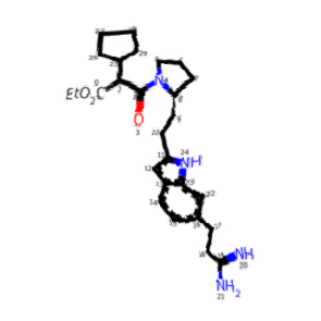 CCOC(=O)C(C(=O)N1CCC[C@H]1CCc1cc2ccc(CCC(=N)N)cc2[nH]1)C1CCCC1